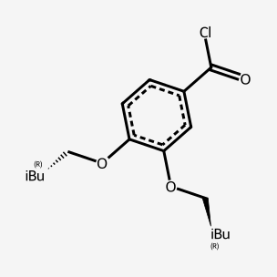 CC[C@@H](C)COc1ccc(C(=O)Cl)cc1OC[C@H](C)CC